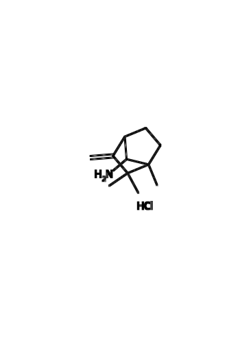 C=C1C2CCC(C)(C2N)C1(C)C.Cl